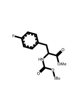 COC(=O)C(Cc1ccc(F)cc1)NC(=O)OC(C)(C)C